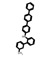 CC1C=CC=C(c2ccccc2Nc2ccc(-c3ccc(-c4ccccc4)cc3)cc2)C1